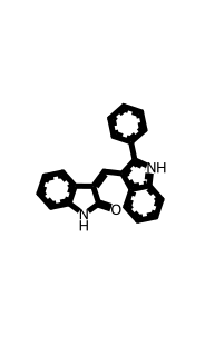 O=C1Nc2ccccc2C1=Cc1c(-c2ccccc2)[nH]c2ccccc12